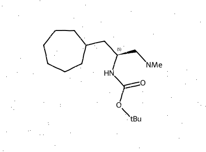 CNC[C@H](CC1CCCCCC1)NC(=O)OC(C)(C)C